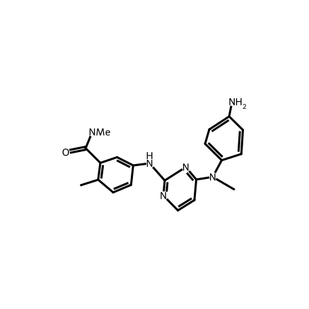 CNC(=O)c1cc(Nc2nccc(N(C)c3ccc(N)cc3)n2)ccc1C